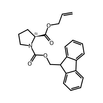 C=CCOC(=O)[C@@H]1CCCN1C(=O)OCC1c2ccccc2-c2ccccc21